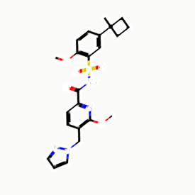 COc1ccc(C2(C)CCC2)cc1S(=O)(=O)NC(=O)c1ccc(Cn2cccn2)c(OC)n1